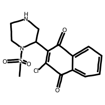 CS(=O)(=O)N1CCNCC1C1=C(Cl)C(=O)c2ccccc2C1=O